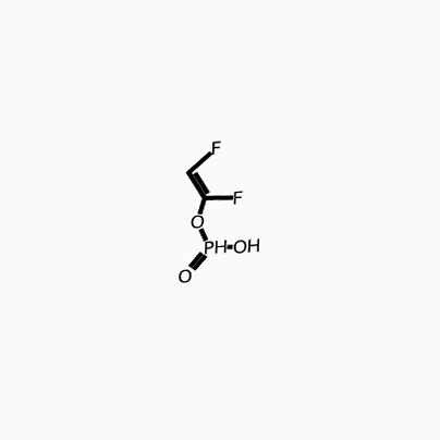 O=[PH](O)OC(F)=CF